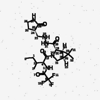 CCC(C)C(NC(=O)C(F)(F)F)C(=O)N1C[C@H]2[C@@H]([C@H]1C(=O)NNC[C@@H]1CCNC1=O)C2(C)C